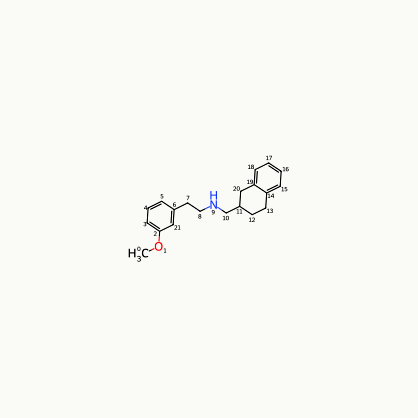 COc1cccc(CCNCC2CCc3ccccc3C2)c1